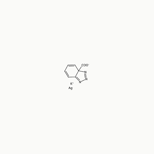 O=C([O-])C12C=CC=CC1=NN=N2.[Ag].[K+]